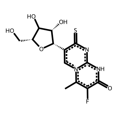 Cc1c(F)c(=O)[nH]c2nc(=S)c([C@@H]3O[C@H](CO)C(O)[C@@H]3O)cn12